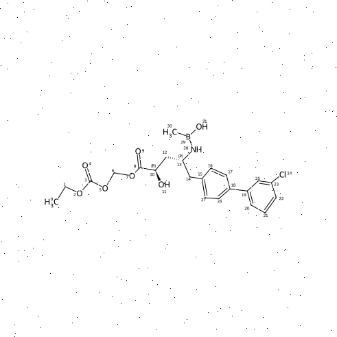 CCOC(=O)OCOC(=O)[C@H](O)C[C@@H](Cc1ccc(-c2cccc(Cl)c2)cc1)NB(C)O